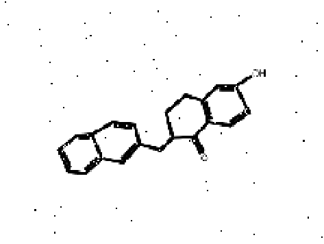 O=C1c2ccc(O)cc2CCC1Cc1ccc2ccccc2c1